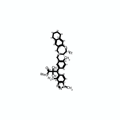 CC[C@@H]1CN(Cc2cc(C(c3ccc4c(nnn4C)c3C)C(C)(C)C(=O)OC)ccc2C)Cc2cc3c(cc2O1)CCCC3